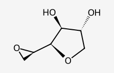 O[C@@H]1[C@H]([C@H]2CO2)OC[C@H]1O